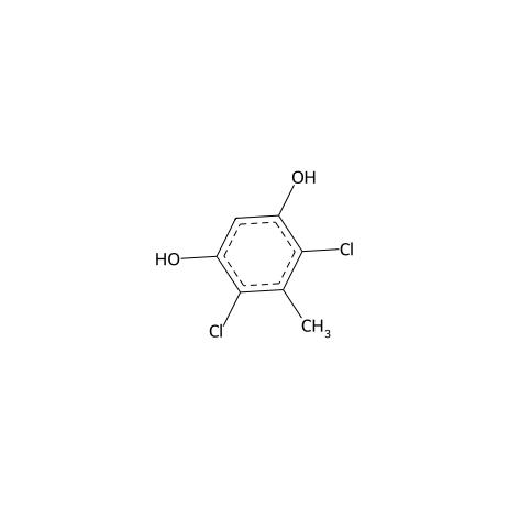 Cc1c(Cl)c(O)cc(O)c1Cl